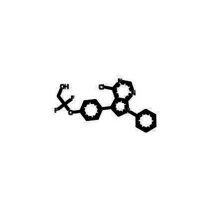 OCC(F)(F)Oc1ccc(-c2cn(-c3ccccc3)c3ncnc(Cl)c23)cc1